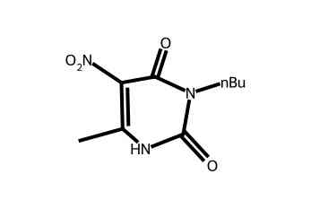 CCCCn1c(=O)[nH]c(C)c([N+](=O)[O-])c1=O